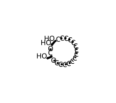 OCC1COC(O)C(O)CCCCCCCCCCCCCCO1